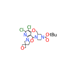 CC(C)(C)OC(=O)N1CCN2C(=O)c3c(N4CCC5(COC5)C4)nc(Cl)c(Cl)c3OCC2C1